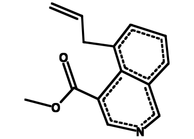 C=CCc1cccc2cncc(C(=O)OC)c12